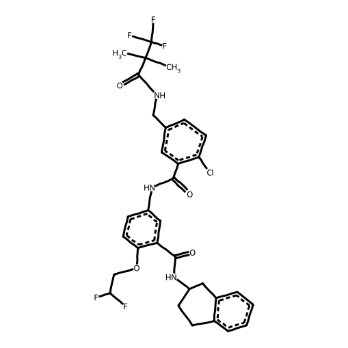 CC(C)(C(=O)NCc1ccc(Cl)c(C(=O)Nc2ccc(OCC(F)F)c(C(=O)NC3CCc4ccccc4C3)c2)c1)C(F)(F)F